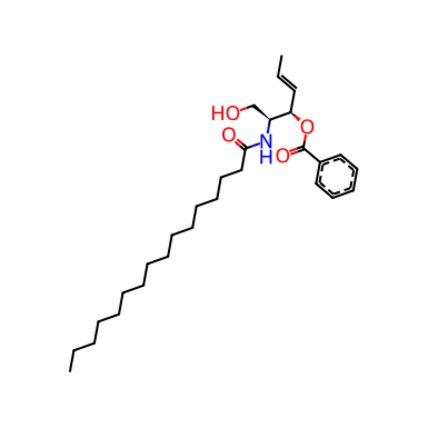 C/C=C/[C@@H](OC(=O)c1ccccc1)[C@H](CO)NC(=O)CCCCCCCCCCCCCCC